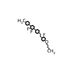 C=CCCCOc1ccc(CCc2ccc(-c3ccc(-c4ccc(C)cc4)c(F)c3F)cc2)c(F)c1